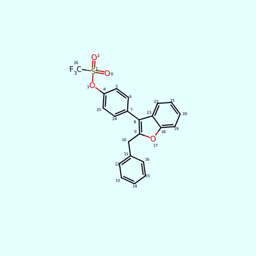 O=S(=O)(Oc1ccc(-c2c(Cc3ccccc3)oc3ccccc23)cc1)C(F)(F)F